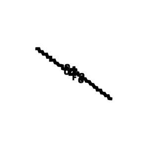 CCCCCCCCCCCCCCCC(=O)OCCN1C(F)CC(OC(=O)CCCCCCCCCCCCCCC)CC1(C)C